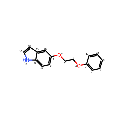 c1ccc(OCCOc2ccc3[nH]ccc3c2)cc1